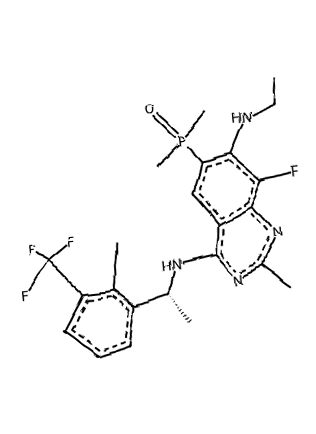 CCNc1c(P(C)(C)=O)cc2c(N[C@H](C)c3cccc(C(F)(F)F)c3C)nc(C)nc2c1F